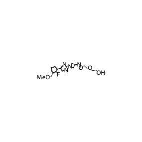 COCc1cccc(-c2cnc(N3CC(=NOCCOCCO)C3)nc2)c1F